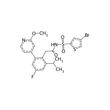 COc1cc(-c2cc(F)cc(C(C)C)c2CC(=O)NS(=O)(=O)c2cc(Br)cs2)ccn1